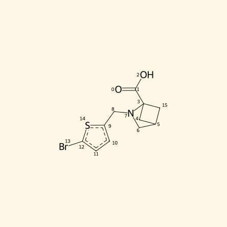 O=C(O)C12CC(CN1Cc1ccc(Br)s1)C2